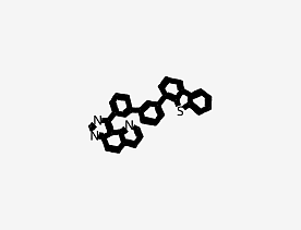 c1cc(-c2cccc(-c3ncnc4ccc5cccnc5c34)c2)cc(-c2cccc3c2sc2ccccc23)c1